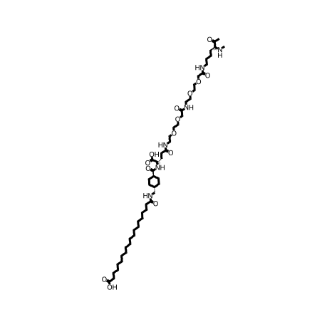 CN[C@@H](CCCCNC(=O)COCCOCCNC(=O)COCCOCCNC(=O)CC[C@H](NC(=O)[C@H]1CC[C@H](CNC(=O)CCCCCCCCCCCCCCCCCCC(=O)O)CC1)C(=O)O)C(C)=O